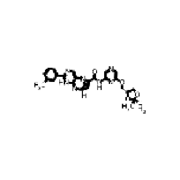 CC1(C)OC[C@@H](COc2cncc(NC(=O)C3C[C@H]4CN3C3=CN=C(c5cccc(C(F)(F)F)c5)NC3=N4)n2)O1